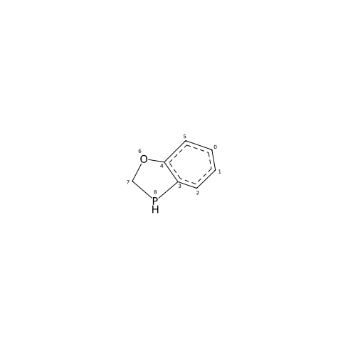 c1ccc2c(c1)OCP2